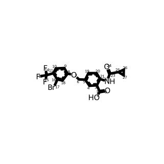 O=C(O)c1cc(COc2ccc(C(F)(F)F)c(Br)c2)ccc1NC(=O)C1CC1